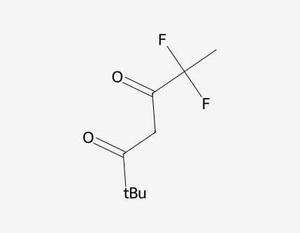 CC(C)(C)C(=O)CC(=O)C(C)(F)F